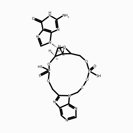 Nc1nc2c(ncn2[C@@H]2OC3COP(=O)(S)OCCn4c(nc5cncnc54)COP(=S)(S)O[C@@H]2[C@@H]3F)c(=O)[nH]1